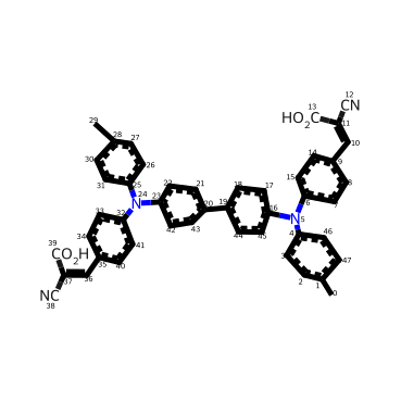 Cc1ccc(N(c2ccc(/C=C(/C#N)C(=O)O)cc2)c2ccc(-c3ccc(N(c4ccc(C)cc4)c4ccc(/C=C(/C#N)C(=O)O)cc4)cc3)cc2)cc1